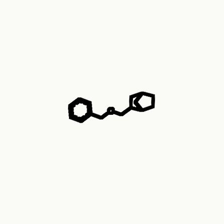 c1ccc(COCC2CC3CCC2C3)cc1